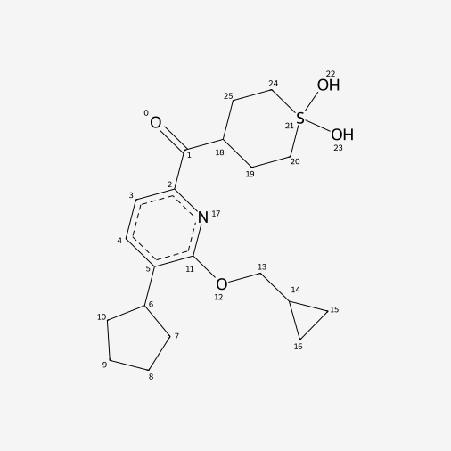 O=C(c1ccc(C2CCCC2)c(OCC2CC2)n1)C1CCS(O)(O)CC1